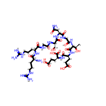 C[C@@H](O)[C@H](NC(=O)CNC(=O)[C@H](CC(N)=O)NC(=O)[C@H](CO)NC(=O)CNC(=O)[C@H](CCCNC(=N)N)NC(=O)[C@@H](N)CCCNC(=N)N)C(=O)N[C@@H](CCC(=O)O)C(=O)N[C@@H](CCC(=O)O)C(=O)O